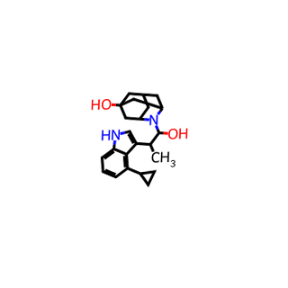 CC(c1c[nH]c2cccc(C3CC3)c12)C(O)N1C2CC3CC1CC(O)(C3)C2